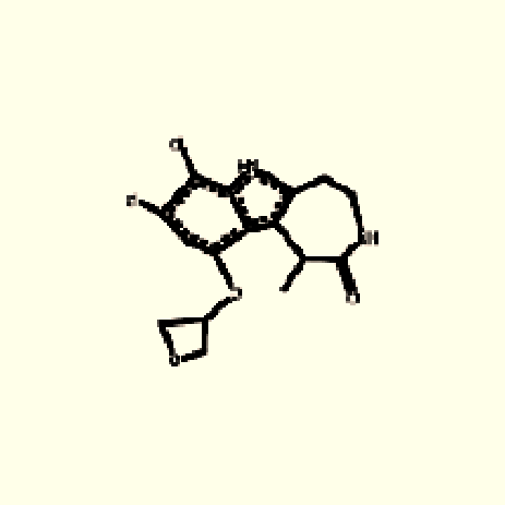 CC1C(=O)NCCc2[nH]c3c(Cl)c(Cl)cc(OC4COC4)c3c21